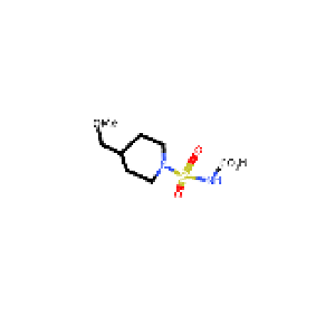 COCC1CCN(S(=O)(=O)NC(=O)O)CC1